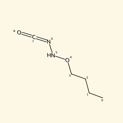 CCCCONN=C=O